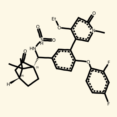 CCOc1cc(=O)n(C)cc1-c1cc(C(N[SH](=O)=O)[C@@]23CC[C@H](CC2=O)C3(C)C)ccc1Oc1ccc(F)cc1F